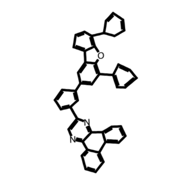 C1=CCC(c2cccc3c2oc2c(-c4ccccc4)cc(-c4cccc(-c5cnc6c7ccccc7c7ccccc7c6n5)c4)cc23)C=C1